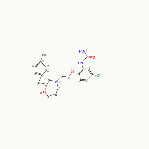 NC(=O)Nc1cc(Cl)ccc1OCCN1CCCOC(Cc2ccc(F)cc2)C1